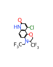 O=c1cc(Cl)c2c3c(ccc2[nH]1)N(CC(F)(F)F)C(C(F)(F)F)CO3